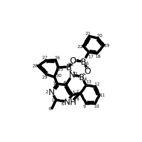 CC1N=C2C3=C(N1)C1(C)C=CC=CC1B1OB(c4ccccc4)OB(C4C=CC=CC24)N13